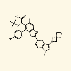 Cc1cc2nc(-c3ccc4c(c3)c(N3CC5(COC5)C3)nn4C)sc2c(-c2ccc(Cl)cc2)c1[C@H](OC(C)(C)C)C(=O)O